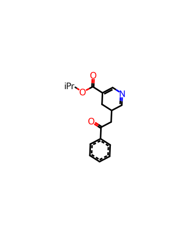 CC(C)OC(=O)C1=CN=CC(CC(=O)c2ccccc2)C1